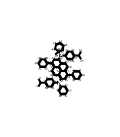 CC(C)c1ccc(N(c2ccccc2)c2cc(-c3ccccc3)c3ccc4c(N(c5ccc(C(C)C)cc5)C5(C)C=C=C=CC5)cc(-c5ccccc5)c5ccc2c3c54)cc1